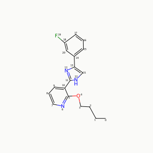 CCCCOc1ncccc1-c1nc(-c2cccc(F)c2)c[nH]1